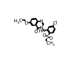 CCOc1ccc2ncn(Nc3cc(Cl)ccc3S(=O)(=O)CC)c(=O)c2c1